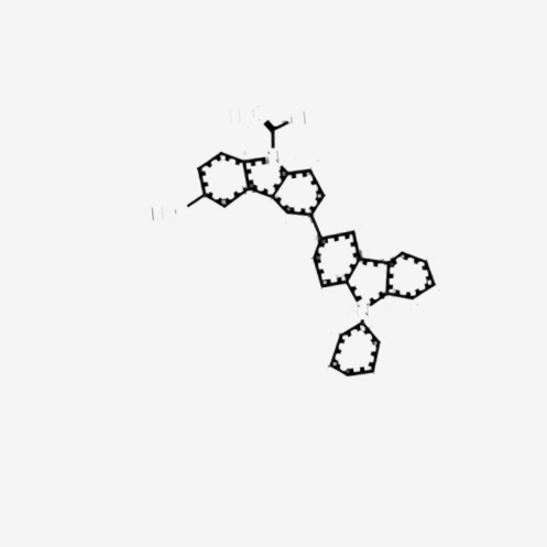 C=C(C)n1c2ccc(C)cc2c2cc(-c3ccc4c(c3)c3ccccc3n4-c3ccccc3)ccc21